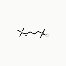 C[Si](C)(Cl)CCCO[Si](C)(C)C